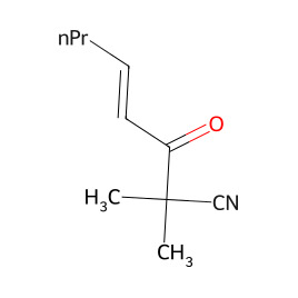 CCCC=CC(=O)C(C)(C)C#N